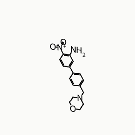 Nc1cc(-c2ccc(CN3CCOCC3)cc2)ccc1[N+](=O)[O-]